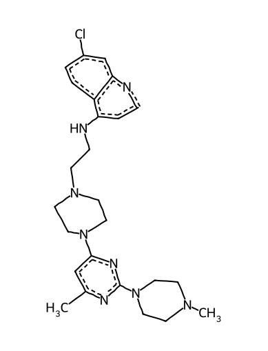 Cc1cc(N2CCN(CCNc3ccnc4cc(Cl)ccc34)CC2)nc(N2CCN(C)CC2)n1